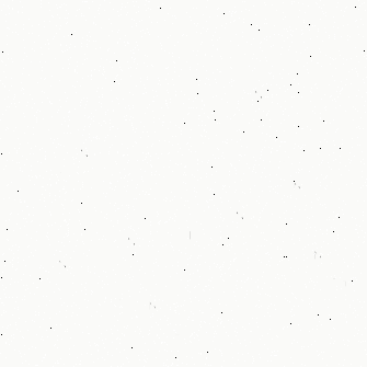 CCN(c1nc(F)ccc1NC(C)C)C1CCN(Cc2ccccc2)CC1.CCN(c1nc(F)ccc1NC(C)C)C1CCNCC1